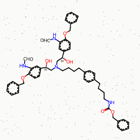 O=CNc1cc([C@@H](O)CN(CCCCc2ccc(CCCCNC(=O)OCc3ccccc3)cc2)C[C@H](O)c2ccc(OCc3ccccc3)c(NC=O)c2)ccc1OCc1ccccc1